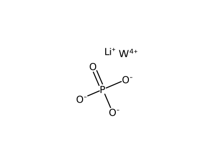 O=P([O-])([O-])[O-].[Li+].[W+4]